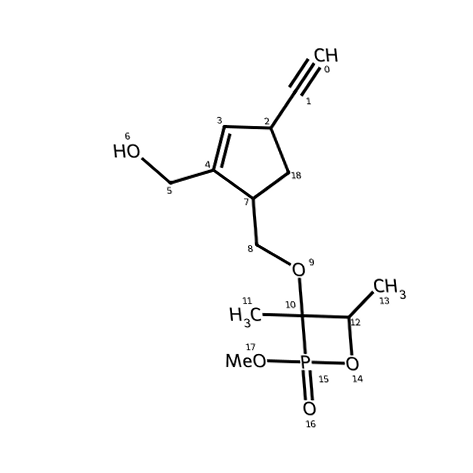 C#CC1C=C(CO)C(COC2(C)C(C)OP2(=O)OC)C1